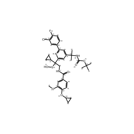 COc1cc(C(=O)NCC(SO)(c2cc(C(C)(C)NC(=O)OC(C)(C)C)cc(-c3ccc(F)c(Cl)c3)n2)C2CC2)ccc1OC1CC1